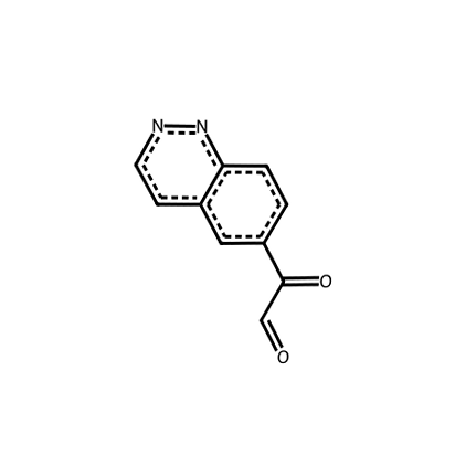 O=CC(=O)c1ccc2nnccc2c1